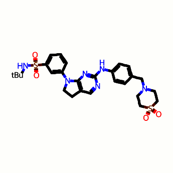 CC(C)(C)NS(=O)(=O)c1cccc(N2CCc3cnc(Nc4ccc(CN5CCS(=O)(=O)CC5)cc4)nc32)c1